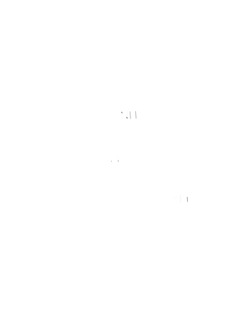 C=CC([NH])OCCCCC